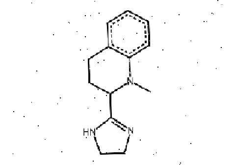 CN1c2ccccc2CCC1C1=NCCN1